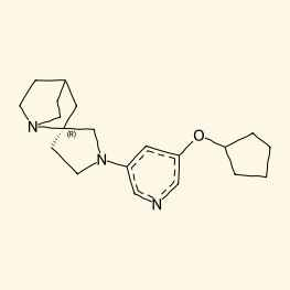 c1ncc(N2CC[C@]3(CC4CCN3CC4)C2)cc1OC1CCCC1